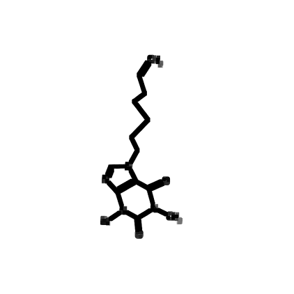 C=CCCCCCn1cnc2c1c(=O)n(C)c(=O)n2CC